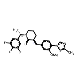 COc1cc(/C=C2\CCCN([C@@H](C)c3cc(F)c(F)c(F)c3)C2=O)ccc1-n1cnc(C)n1